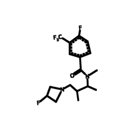 CC(CN1CC(F)C1)C(C)N(C)C(=O)c1ccc(F)c(C(F)(F)F)c1